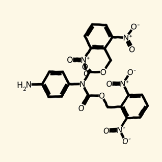 Nc1ccc(N(C(=O)OCc2c([N+](=O)[O-])cccc2[N+](=O)[O-])C(=O)OCc2c([N+](=O)[O-])cccc2[N+](=O)[O-])cc1